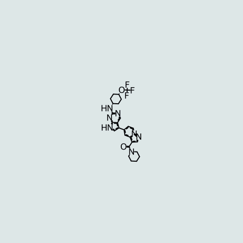 O=C(c1cnn2ccc(-c3c[nH]c4nc(N[C@H]5CC[C@@H](OC(F)(F)F)CC5)ncc34)cc12)N1CCCCC1